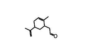 C=C(C)C1CC=C(C)C(CC=O)C1